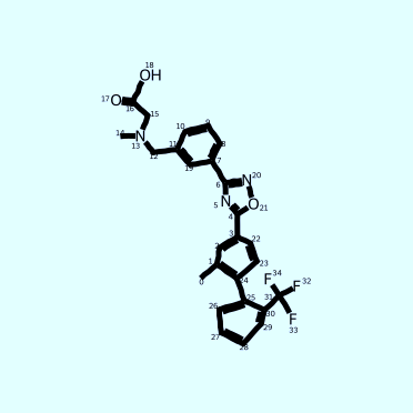 Cc1cc(-c2nc(-c3cccc(CN(C)CC(=O)O)c3)no2)ccc1-c1ccccc1C(F)(F)F